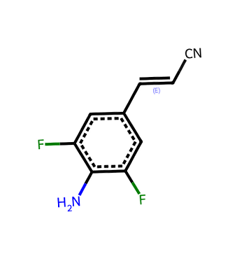 N#C/C=C/c1cc(F)c(N)c(F)c1